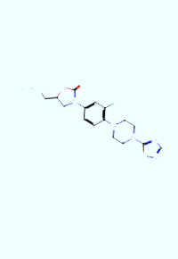 CC(=O)NCC1CN(c2ccc(N3CCN(c4ncns4)CC3)c(F)c2)C(=O)O1